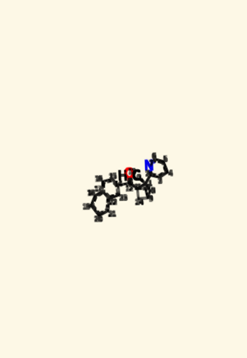 C[C@@]1(c2ccccn2)CC2CC1(C(=O)c1ccc3ccccc3c1)C2